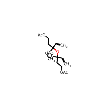 C=CC(CC)(CCOC(C)=O)OC(C=C)(CC)CCOC(C)=O.CC=O